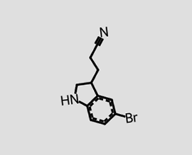 N#CCCC1CNc2ccc(Br)cc21